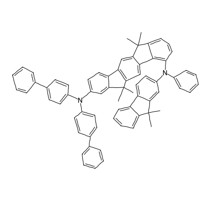 CC1(C)c2ccccc2-c2ccc(N(c3ccccc3)c3cccc4c3-c3cc5c(cc3C4(C)C)-c3ccc(N(c4ccc(-c6ccccc6)cc4)c4ccc(-c6ccccc6)cc4)cc3C5(C)C)cc21